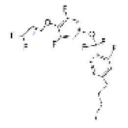 CCCCCc1ccc(C(F)(F)Oc2cc(F)c(O/C=C/C(F)F)c(F)c2)c(F)c1